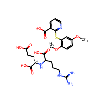 COc1ccc(OC)c(Sc2ncccc2C(=O)O)c1.N=C(N)NCCCC(N[C@@H](CCC(=O)O)C(=O)O)C(=O)O